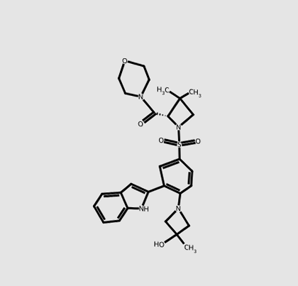 CC1(O)CN(c2ccc(S(=O)(=O)N3CC(C)(C)[C@H]3C(=O)N3CCOCC3)cc2-c2cc3ccccc3[nH]2)C1